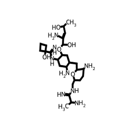 CC(O)/C=C(\N)C(O)OC1CC(CC2OC(CNC(=N)C(C)N)CCC2N)C(N)CC1NC(=N)C1(O)CCC1